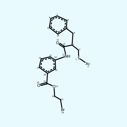 CC(=O)SCC(Cc1ccccc1)C(=O)Nc1cccc(C(=O)OCCBr)c1